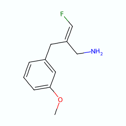 COc1cccc(C/C(=C\F)CN)c1